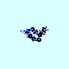 CN1CCN(C2CCCN(c3cnc(C(N)=O)c(Nc4ccc(C5CCN(C[C@@H]6CCCN(c7ccc8c(c7)C(=O)N(C7CCC(=O)NC7=O)C8=O)C6)CC5)cc4)n3)C2)C1=O